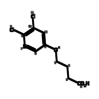 O=C(O)CCCOc1cnc(Cl)c(Cl)c1